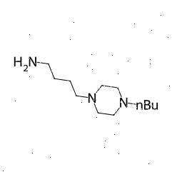 CCCCN1CCN(CCCCN)CC1